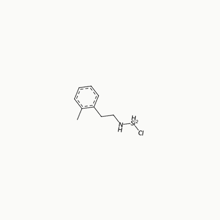 Cc1ccccc1CCN[SiH2]Cl